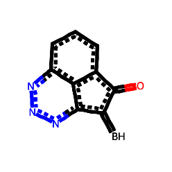 B=c1c(=O)c2cccc3nnnc1c32